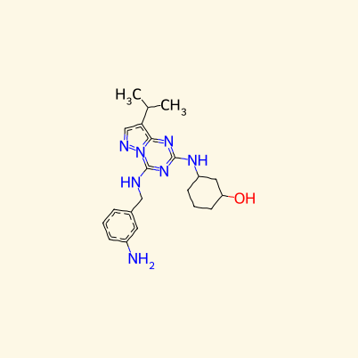 CC(C)c1cnn2c(NCc3cccc(N)c3)nc(NC3CCCC(O)C3)nc12